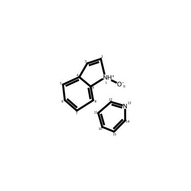 [O-][NH+]1C=Cc2ccccc21.c1ccncc1